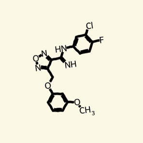 COc1cccc(OCc2nonc2C(=N)Nc2ccc(F)c(Cl)c2)c1